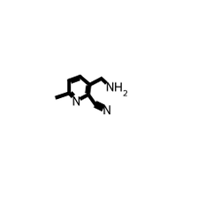 Cc1ccc(CN)c(C#N)n1